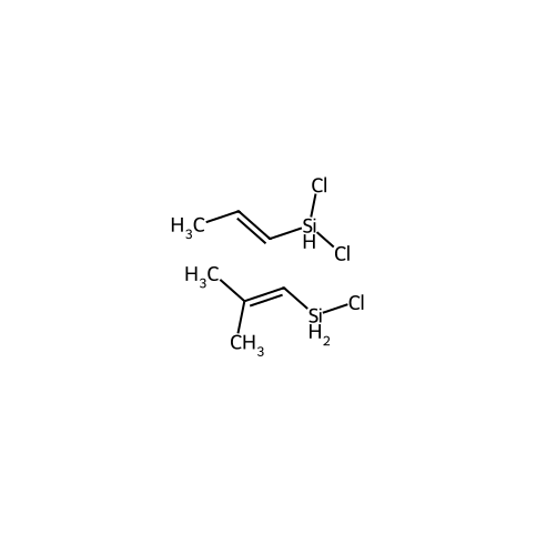 CC(C)=C[SiH2]Cl.CC=C[SiH](Cl)Cl